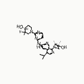 CC(C)c1cnc(N2C[C@](C)(O)[C@H]2C)c2cnc(Nc3ccnc(N4CC[C@@H](O)[C@@](C)(F)C4)n3)cc12